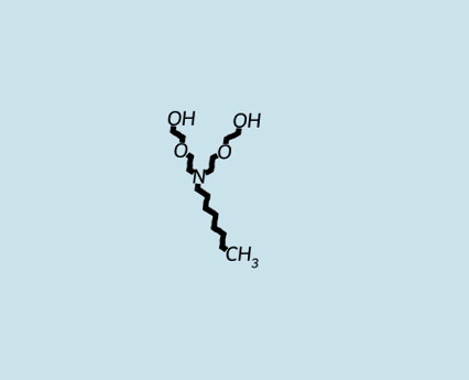 CCCCCCCCN(CCOCCO)CCOCCO